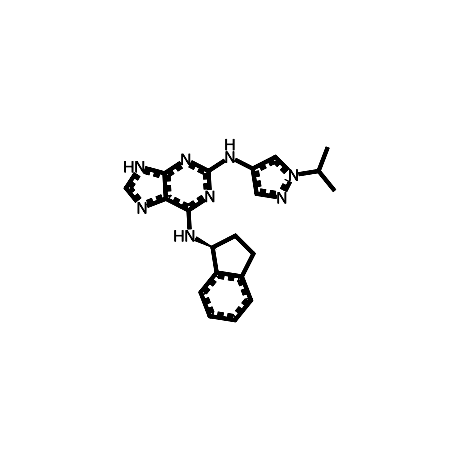 CC(C)n1cc(Nc2nc(N[C@H]3CCc4ccccc43)c3nc[nH]c3n2)cn1